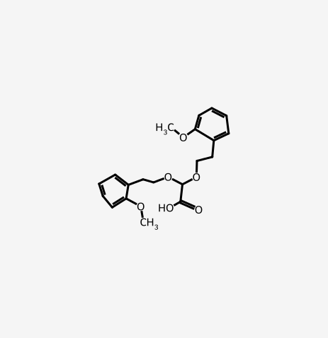 COc1ccccc1CCOC(OCCc1ccccc1OC)C(=O)O